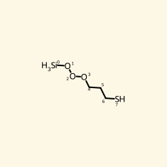 [SiH3]OOOCCCS